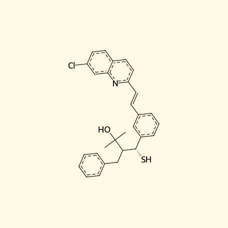 CC(C)(O)C(Cc1ccccc1)[C@@H](S)c1cccc(C=Cc2ccc3ccc(Cl)cc3n2)c1